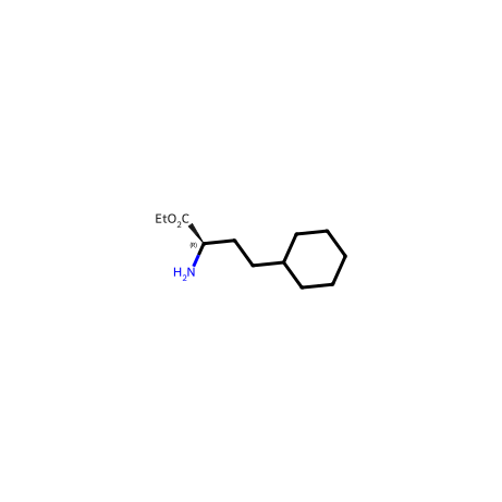 CCOC(=O)[C@H](N)CCC1CCCCC1